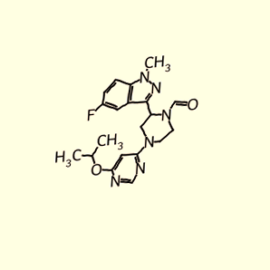 CC(C)Oc1cc(N2CCN(C=O)C(c3nn(C)c4ccc(F)cc34)C2)ncn1